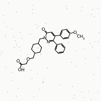 COc1ccc(-c2cc(=O)n(CC3CCC(COCC(=O)O)CC3)nc2-c2ccccc2)cc1